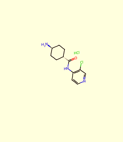 Cl.N[C@H]1CC[C@H](C(=O)Nc2ccncc2Cl)CC1